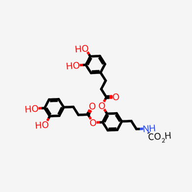 O=C(O)NCCc1ccc(OC(=O)CCc2ccc(O)c(O)c2)c(OC(=O)CCc2ccc(O)c(O)c2)c1